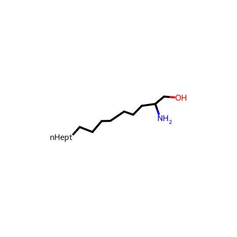 CCCCCCCCCCCCCCC(N)CO